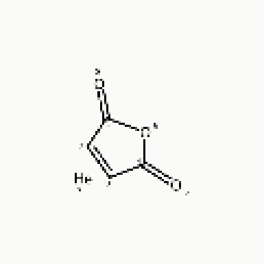 O=C1C=CC(=O)O1.[He]